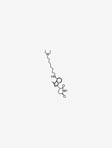 CCN(CC)CCCCCCCCNc1cccc2c(C3CCC(=O)NC3=O)nn(C)c12